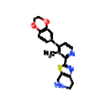 Cc1c(-c2ccc3c(c2)OCCO3)ccnc1-c1nc2c(s1)CNCC2